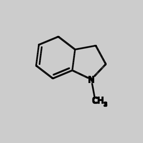 CN1CCC2CC=CC=C21